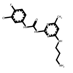 Cc1cc(NCCCN)nc(NC(=O)Nc2ccc(F)c(Cl)c2)n1